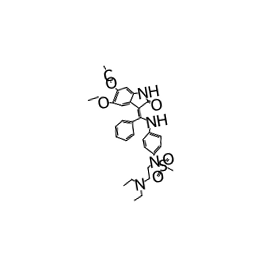 CCOc1cc2c(cc1OCC)/C(=C(/Nc1ccc(N(CCN(CC)CC)S(C)(=O)=O)cc1)c1ccccc1)C(=O)N2